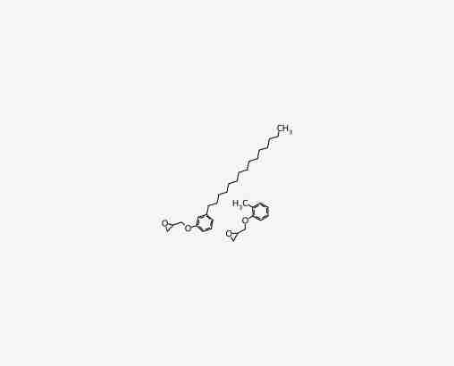 CCCCCCCCCCCCCCCc1cccc(OCC2CO2)c1.Cc1ccccc1OCC1CO1